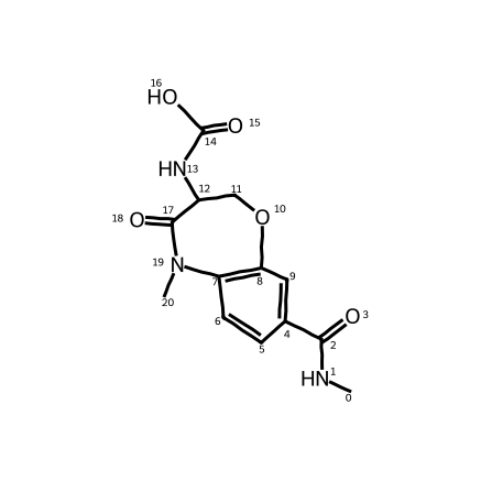 CNC(=O)c1ccc2c(c1)OCC(NC(=O)O)C(=O)N2C